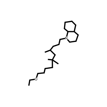 CCOCCCCC(C)(C)CC(C)CCCN1CCCC2CCCCC21